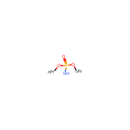 CCCOP([NH])(=O)OCCC